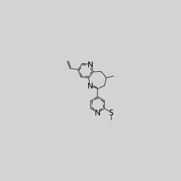 C=Cc1cnc2c(c1)N=C(c1ccnc(SC)c1)CC(C)C2